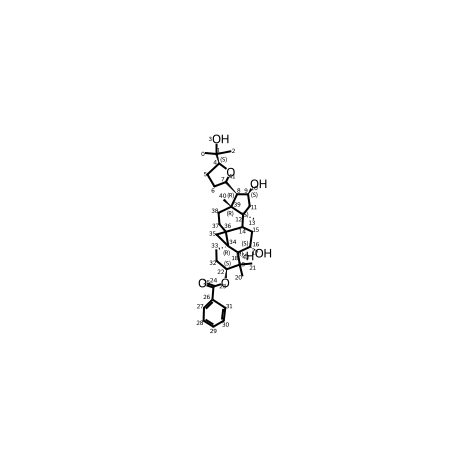 CC(C)(O)[C@@H]1CCC([C@H]2[C@@H](O)C[C@@]3(C)C4C[C@H](O)[C@H]5C(C)(C)[C@@H](OC(=O)c6ccccc6)CC[C@@]56CC46CC[C@]23C)O1